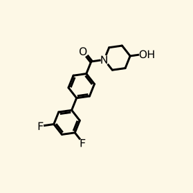 O=C(c1ccc(-c2cc(F)cc(F)c2)cc1)N1CCC(O)CC1